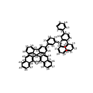 c1ccc(-c2ccc(-c3ccccc3)c(N(c3ccccc3)c3cccc(-c4ccc5c(c4)-c4ccccc4C54c5ccc6ccccc6c5Oc5c4ccc4ccccc54)c3)c2)cc1